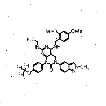 [2H]C([2H])([2H])Oc1ccc(N2C(=O)N(c3ccc4nn(C)cc4c3)Cc3c(NCc4ccc(OC)cc4OC)nc(NCC(F)(F)F)nc32)cc1